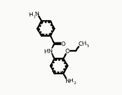 CCOc1cc(N)ccc1NC(=O)c1ccc(N)cc1